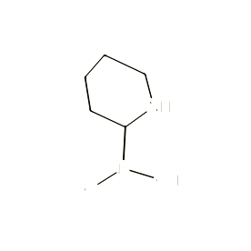 OB(O)C1CCCCN1